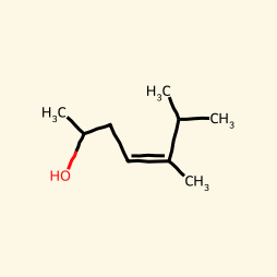 CC(=CCC(C)O)C(C)C